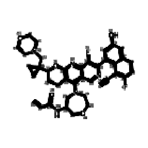 C#Cc1c(F)ccc2cc(O)cc(-c3ncc4c(N5CCOCC(NC(=O)C=C)C5)c5c(nc4c3F)OC(C3(CN4CCOCC4)CC3)CC5)c12